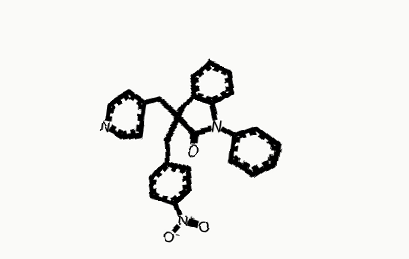 O=C1N(c2ccccc2)c2ccccc2C1(Cc1ccncc1)Cc1ccc([N+](=O)[O-])cc1